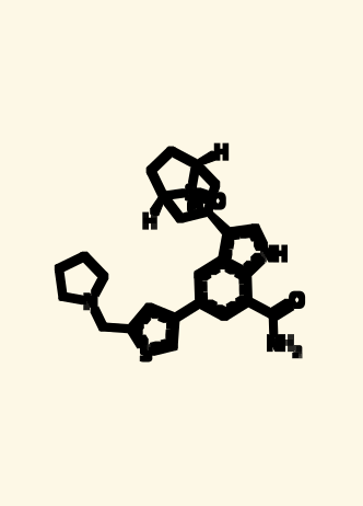 NC(=O)c1cc(-c2csc(CN3CCCC3)c2)cc2c([C@@H]3C[C@H]4CC[C@@H](C3)S4(=O)=O)c[nH]c12